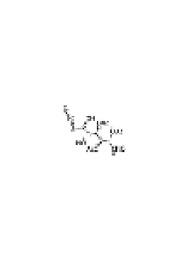 CC(=O)O[C@@H]([C@H](OC(C)=O)[C@H](O)C(O)N=[N+]=[N-])[C@H](C=O)OC(C)=O